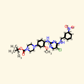 COc1cc(N2CCN(C(=O)OC(C)(C)C)CC2)ccc1Nc1ncc(Cl)c(NCc2cccc([N+](=O)[O-])c2)n1